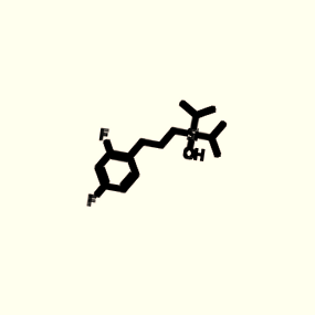 CC(C)[Si](O)(CCCc1ccc(F)cc1F)C(C)C